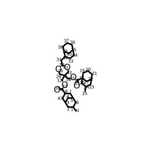 CC1CC2CC(C1)CC(C(=O)OCC1(COC(=O)C34CCCC(CC(C)C3)C4)COC(CC3CCC4CCCC3C4)OC1)C2